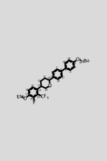 CCCCOc1ccc(-c2ccc(C3CCC(c4ccc(OCC)c(F)c4C(F)(F)F)CO3)cc2)cc1